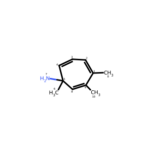 CC1=CC=CC(C)(N)C=C1C